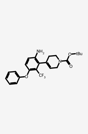 CC(C)(C)OC(=O)N1CC=C(c2c(N)ccc(Oc3ccccc3)c2C(F)(F)F)CC1